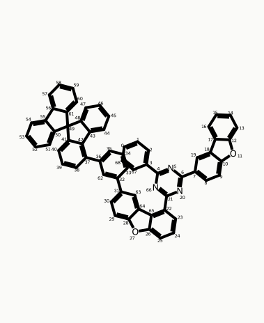 c1ccc(-c2nc(-c3ccc4oc5ccccc5c4c3)nc(-c3cccc4oc5ccc(-c6cccc(-c7cccc8c7-c7ccccc7C87c8ccccc8-c8ccccc87)c6)cc5c34)n2)cc1